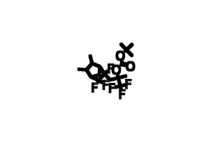 CC1C(C)C2CC1C(F)(F)C2(F)CC(C)(OC(=O)OC(C)(C)C)C(F)(F)F